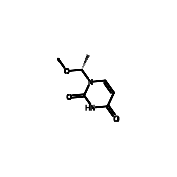 CO[C@H](C)n1ccc(=O)[nH]c1=O